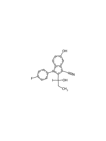 CCC(O)(I)c1c(C#N)c2cc(O)ccc2n1-c1ccc(F)cc1